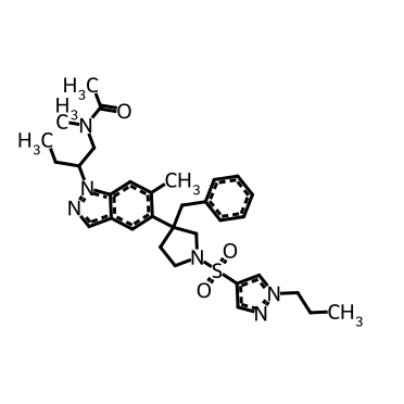 CCCn1cc(S(=O)(=O)N2CCC(Cc3ccccc3)(c3cc4cnn(C(CC)CN(C)C(C)=O)c4cc3C)C2)cn1